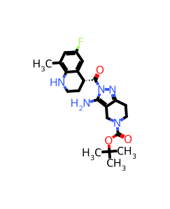 Cc1cc(F)cc2c1NCC[C@H]2C(=O)n1nc2c(c1N)CN(C(=O)OC(C)(C)C)CC2